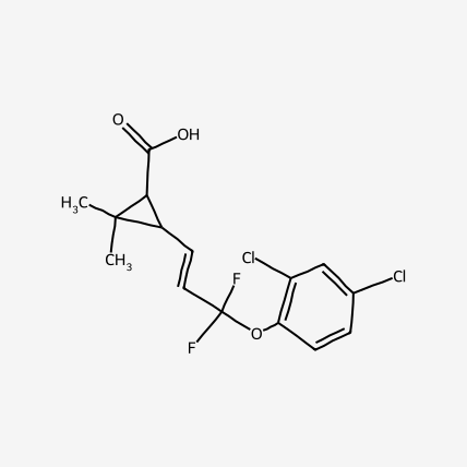 CC1(C)C(C=CC(F)(F)Oc2ccc(Cl)cc2Cl)C1C(=O)O